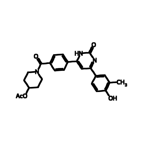 CC(=O)OC1CCN(C(=O)c2ccc(-c3cc(-c4ccc(O)c(C)c4)nc(=O)[nH]3)cc2)CC1